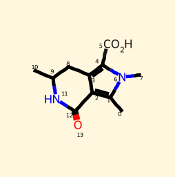 Cc1c2c(c(C(=O)O)n1C)CC(C)NC2=O